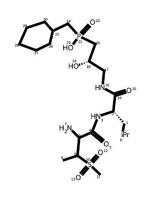 CC(C)C[C@H](NC(=O)C(N)C(C)S(C)(=O)=O)C(=O)NC[C@H](O)CP(=O)(O)CC1CCCCC1